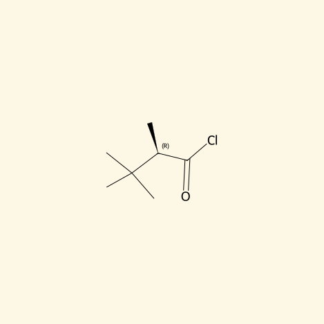 C[C@@H](C(=O)Cl)C(C)(C)C